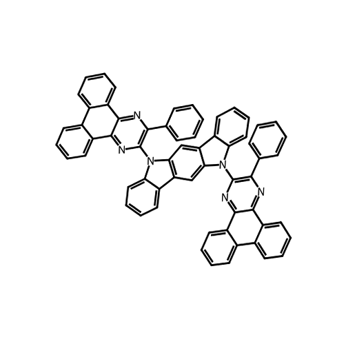 c1ccc(-c2nc3c4ccccc4c4ccccc4c3nc2-n2c3ccccc3c3cc4c(cc32)c2ccccc2n4-c2nc3c4ccccc4c4ccccc4c3nc2-c2ccccc2)cc1